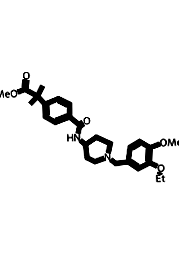 CCOc1cc(CN2CCC(NC(=O)c3ccc(C(C)(C)C(=O)OC)cc3)CC2)ccc1OC